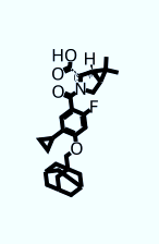 CC1(C)C2CN(C(=O)c3cc(C4CC4)c(OCC45CC6CC(CC(C6)C4)C5)cc3F)[C@H](C(=O)O)[C@H]21